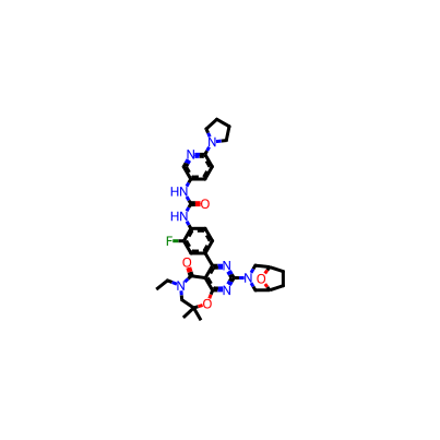 CCN1CC(C)(C)Oc2nc(N3CC4CCC(C3)O4)nc(-c3ccc(NC(=O)Nc4ccc(N5CCCC5)nc4)c(F)c3)c2C1=O